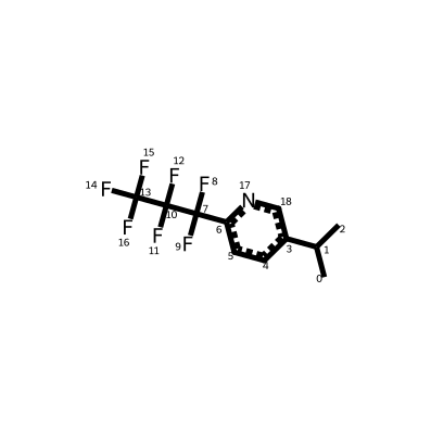 CC(C)c1ccc(C(F)(F)C(F)(F)C(F)(F)F)nc1